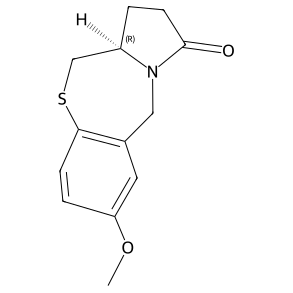 COc1ccc2c(c1)CN1C(=O)CC[C@@H]1CS2